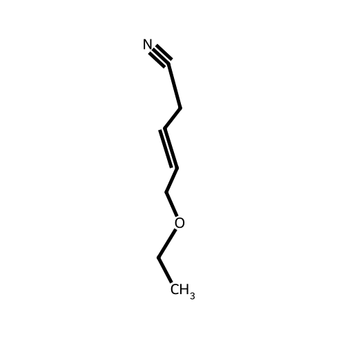 CCOCC=CCC#N